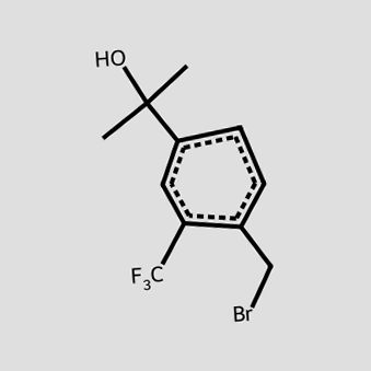 CC(C)(O)c1ccc(CBr)c(C(F)(F)F)c1